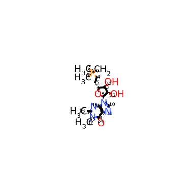 C=P(C)(C)CC[C@H]1O[C@@H](n2cnc3c(=O)n(C)c(C)nc32)[C@H](O)[C@@H]1O